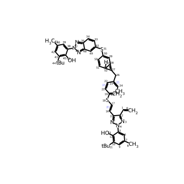 C=Cc1nn(-c2cc(C)cc(C(C)(C)C)c2O)nc1/C=C/SC(=C)/C=C\C(=C/C)CC1=C2C=C(Sc3ccc4nn(-c5cc(C)cc(C(C)(C)C)c5O)nc4c3)C=C[C@H]21